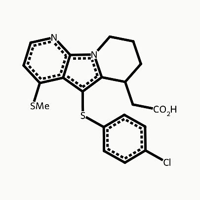 CSc1ccnc2c1c(Sc1ccc(Cl)cc1)c1n2CCCC1CC(=O)O